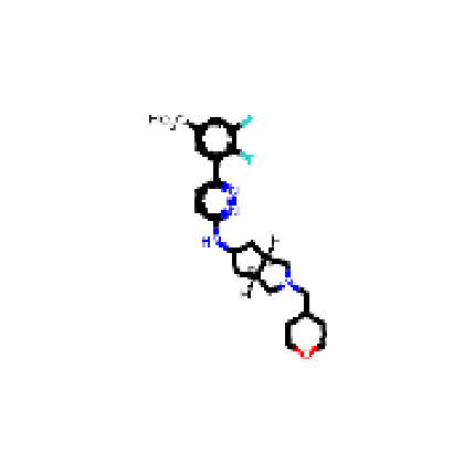 O=C(O)c1cc(F)c(F)c(-c2ccc(NC3C[C@@H]4CN(CC5CCOCC5)C[C@@H]4C3)nn2)c1